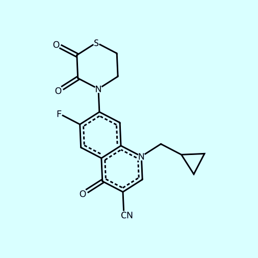 N#Cc1cn(CC2CC2)c2cc(N3CCSC(=O)C3=O)c(F)cc2c1=O